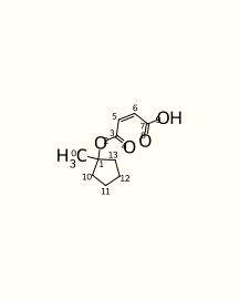 CC1(OC(=O)/C=C\C(=O)O)CCCC1